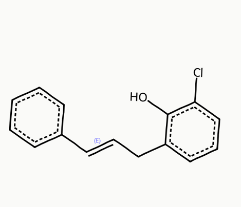 Oc1c(Cl)cccc1C/C=C/c1ccccc1